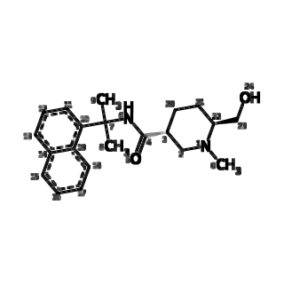 CN1C[C@H](C(=O)NC(C)(C)c2cccc3ccccc23)CC[C@H]1CO